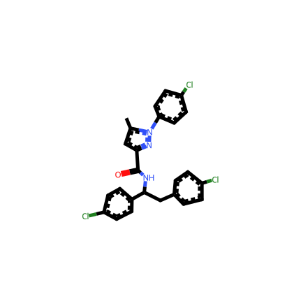 Cc1cc(C(=O)NC(Cc2ccc(Cl)cc2)c2ccc(Cl)cc2)nn1-c1ccc(Cl)cc1